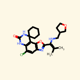 CC(C)=C(NCC1CCOC1)c1nc2cc(Cl)c3c(c2o1)C1(CCCCC1)NC(=O)N3